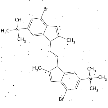 CC1=Cc2c(Br)cc([Si](C)(C)C)cc2C1CCC1C(C)=Cc2c(Br)cc([Si](C)(C)C)cc21